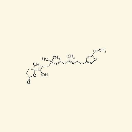 COc1cc(CC/C=C(\C)C/C=C/[C@@](C)(O)CC[C@@H](O)[C@]2(C)CCC(=O)O2)co1